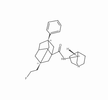 O=C(N[C@H]1CN2CCC1CC2)C12CC3C[C@@](CCF)(C1)C[C@](c1ccccc1)(C3)C2